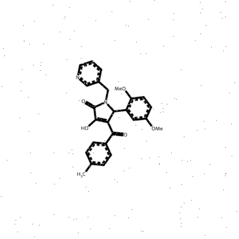 COc1ccc(OC)c(C2C(C(=O)c3ccc(C)cc3)=C(O)C(=O)N2Cc2cccnc2)c1